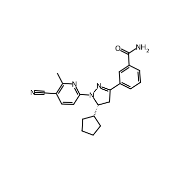 Cc1nc(N2N=C(c3cccc(C(N)=O)c3)C[C@@H]2C2CCCC2)ccc1C#N